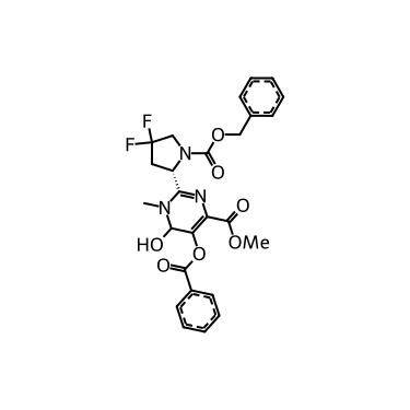 COC(=O)C1=C(OC(=O)c2ccccc2)C(O)N(C)C([C@@H]2CC(F)(F)CN2C(=O)OCc2ccccc2)=N1